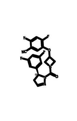 N#Cc1cc(OC2CN(C(=O)N3N=CC[C@H]3c3cc(F)cc(F)c3)C2)c(F)cc1F